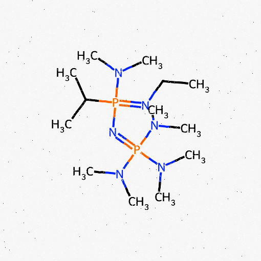 CCN=P(N=P(N(C)C)(N(C)C)N(C)C)(C(C)C)N(C)C